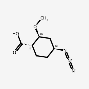 CO[C@H]1C[C@@H](N=[N+]=[N-])CC[C@@H]1C(=O)O